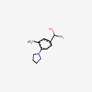 CC(O)c1ccc(N2CCCC2)c(C(=O)O)c1